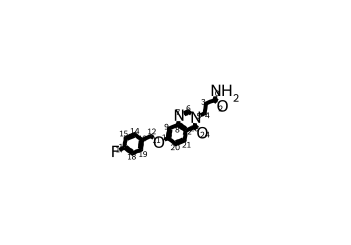 NC(=O)CCn1cnc2cc(OCc3ccc(F)cc3)ccc2c1=O